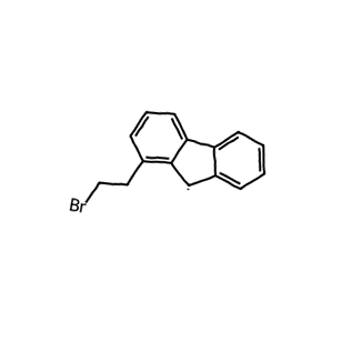 BrCCc1cccc2c1[CH]c1ccccc1-2